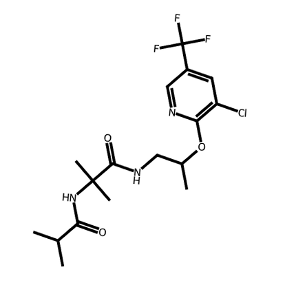 CC(CNC(=O)C(C)(C)NC(=O)C(C)C)Oc1ncc(C(F)(F)F)cc1Cl